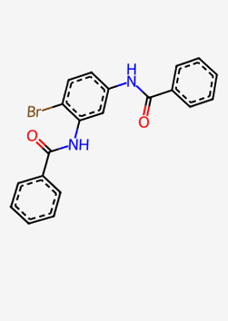 O=C(Nc1ccc(Br)c(NC(=O)c2ccccc2)c1)c1ccccc1